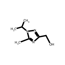 Cc1nc(CO)nn1C(C)C